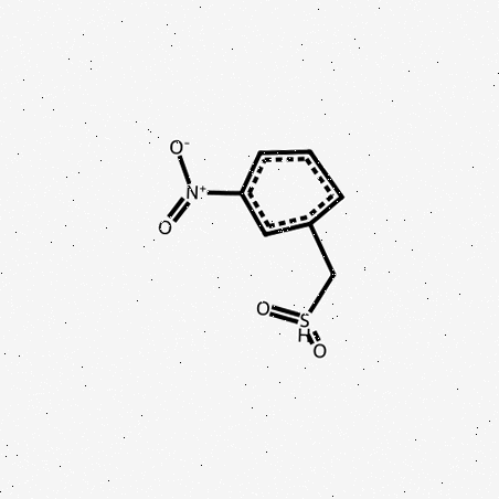 O=[N+]([O-])c1cccc(C[SH](=O)=O)c1